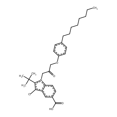 CCCCCCCCc1ccc(OCC(=O)Cn2c(C(C)(C)C)c(Cl)c3cc(C(=O)O)ccc32)cc1